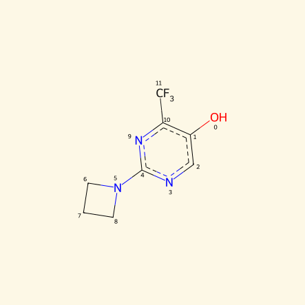 Oc1cnc(N2CCC2)nc1C(F)(F)F